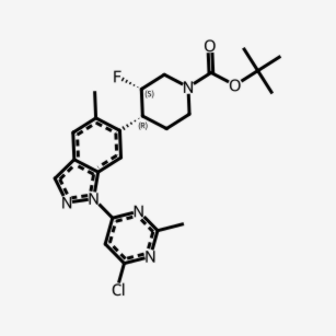 Cc1nc(Cl)cc(-n2ncc3cc(C)c([C@H]4CCN(C(=O)OC(C)(C)C)C[C@H]4F)cc32)n1